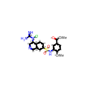 COC(=O)c1ccc(OC)c(NS(=O)(=O)c2ccc3c(N(Cl)C(=N)N)cncc3c2)c1